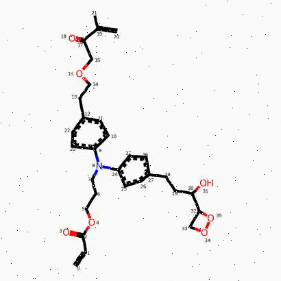 C=CC(=O)OCCCN(c1ccc(CCOCC(=O)C(=C)C)cc1)c1ccc(CCC(O)C2COO2)cc1